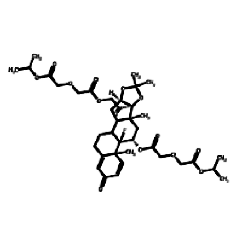 CC(C)OC(=O)COCC(=O)OCC(=O)[C@@]12OC(C)(C)O[C@@H]1CC1C3CCC4=CC(=O)C=CC4(C)[C@@]3(F)[C@@H](OC(=O)COCC(=O)OC(C)C)CC12C